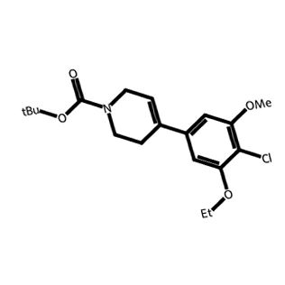 CCOc1cc(C2=CCN(C(=O)OC(C)(C)C)CC2)cc(OC)c1Cl